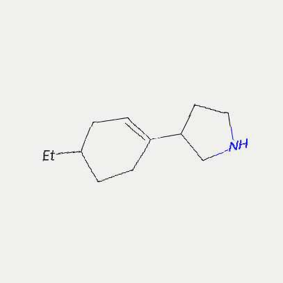 CCC1CC=C(C2CCNC2)CC1